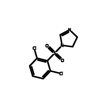 O=S(=O)(c1c(Cl)cccc1Cl)N1C=NCC1